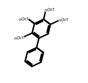 CCCCCCCCc1[c]c(-c2ccccc2)c(CCCCCCCC)c(CCCCCCCC)c1CCCCCCCC